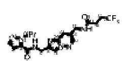 CC(C)n1nccc1C(=O)NCc1cn2ncc(CNC(=O)CCC(F)(F)F)cc2n1